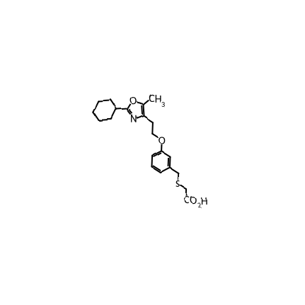 Cc1oc(C2CCCCC2)nc1CCOc1cccc(CSCC(=O)O)c1